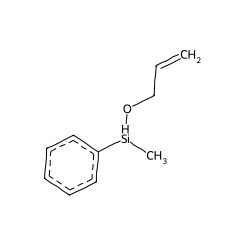 C=CCO[SiH](C)c1ccccc1